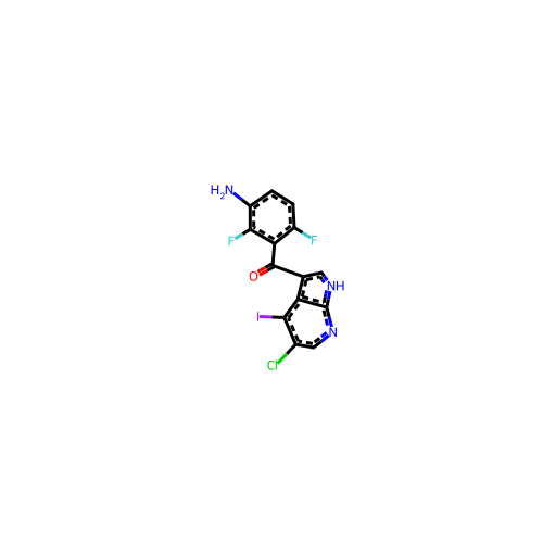 Nc1ccc(F)c(C(=O)c2c[nH]c3ncc(Cl)c(I)c23)c1F